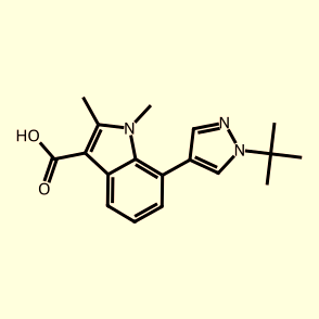 Cc1c(C(=O)O)c2cccc(-c3cnn(C(C)(C)C)c3)c2n1C